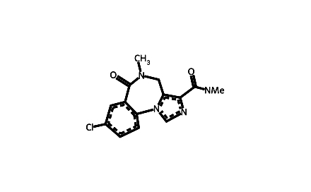 CNC(=O)c1ncn2c1CN(C)C(=O)c1cc(Cl)ccc1-2